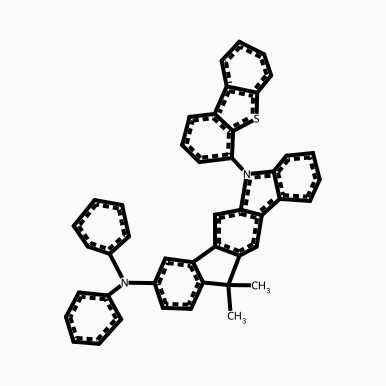 CC1(C)c2ccc(N(c3ccccc3)c3ccccc3)cc2-c2cc3c(cc21)c1ccccc1n3-c1cccc2c1sc1ccccc12